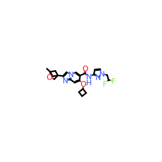 CC12CC(c3cn4cc(C(=O)Nc5ccn(CC(F)F)n5)c(OC5CCC5)cc4n3)(CO1)C2